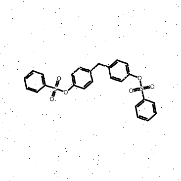 O=S(=O)(Oc1ccc(Cc2ccc(OS(=O)(=O)c3ccccc3)cc2)cc1)c1ccccc1